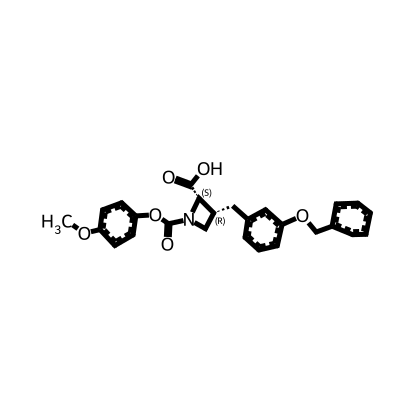 COc1ccc(OC(=O)N2C[C@@H](Cc3cccc(OCc4ccccc4)c3)[C@H]2C(=O)O)cc1